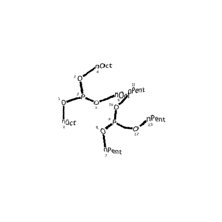 CCCCCCCCOP(OCCCCCCCC)OCCCCCCCC.CCCCCOP(OCCCCC)OCCCCC